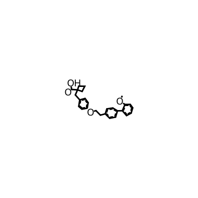 COc1ccccc1-c1ccc(CCOc2ccc(CC3(C(=O)O)CCC3)cc2)cc1